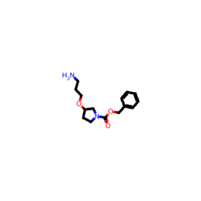 NCCCOC1CCN(C(=O)OCc2ccccc2)C1